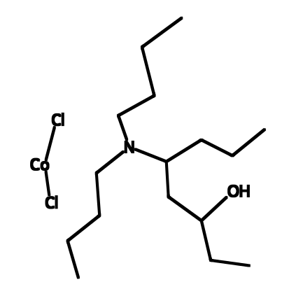 CCCCN(CCCC)C(CCC)CC(O)CC.[Cl][Co][Cl]